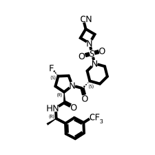 C[C@@H](NC(=O)[C@H]1C[C@H](F)CN1C(=O)[C@H]1CCCN(S(=O)(=O)N2CC(C#N)C2)C1)c1cccc(C(F)(F)F)c1